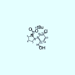 CC(C)(C)OC(=O)N1CCCC1c1cc(Cl)ccc1CO